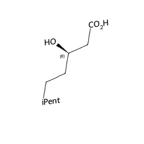 CCCC(C)CC[C@@H](O)CC(=O)O